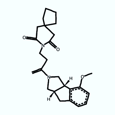 C=C(CCN1C(=O)CC2(CCCC2)CC1=O)N1C[C@H]2Cc3cccc(OC)c3[C@H]2C1